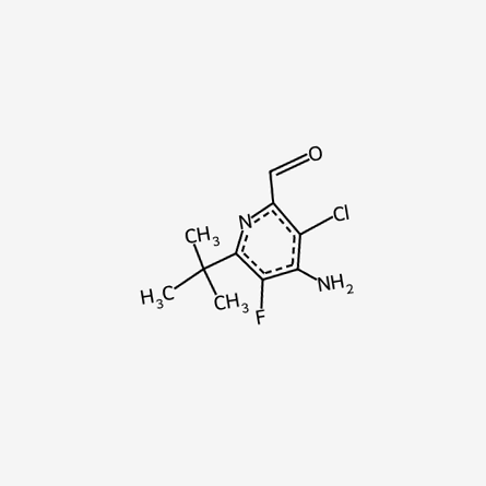 CC(C)(C)c1nc(C=O)c(Cl)c(N)c1F